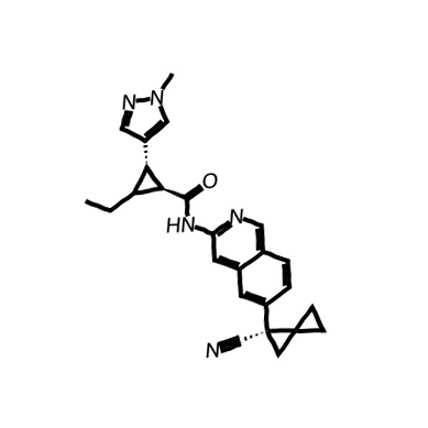 CCC1[C@H](C(=O)Nc2cc3cc([C@]4(C#N)CC45CC5)ccc3cn2)[C@H]1c1cnn(C)c1